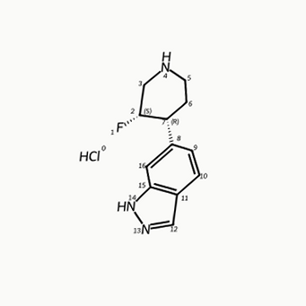 Cl.F[C@@H]1CNCC[C@@H]1c1ccc2cn[nH]c2c1